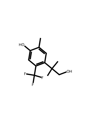 Cc1cc(C(C)(C)CO)c(C(F)(F)F)cc1O